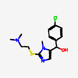 CN(C)CCSc1ncc(C(O)c2ccc(Cl)cc2)n1C